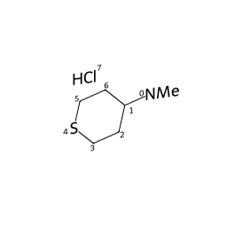 CNC1CCSCC1.Cl